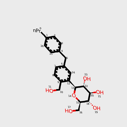 CCCc1ccc(Cc2ccc(CO)c([C@@H]3O[C@H](CO)[C@@H](O)[C@H](O)[C@H]3O)c2)cc1